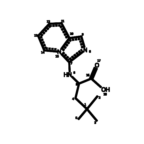 CC(C)(C)CC(Nc1ncc2ccccn12)C(=O)O